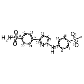 CS(=O)(=O)c1ccc(Nc2nc(-c3ccc(S(N)(=O)=O)cc3)cs2)cc1